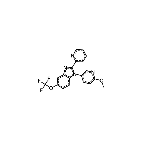 COc1ccc(-n2c(-c3ccccn3)nc3cc(OC(F)(F)F)ccc32)cn1